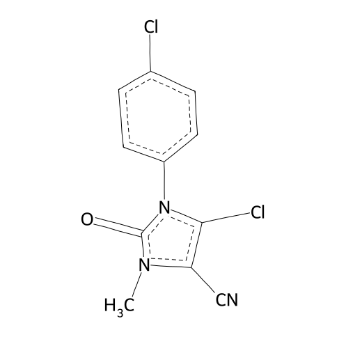 Cn1c(C#N)c(Cl)n(-c2ccc(Cl)cc2)c1=O